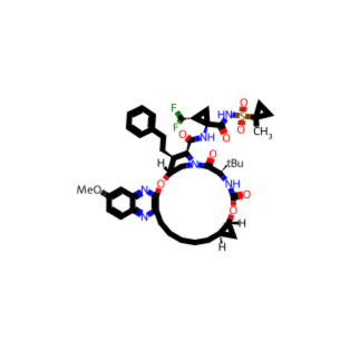 COc1ccc2nc3c(nc2c1)O[C@H]1CN(C(=O)[C@H](C(C)(C)C)NC(=O)O[C@@H]2C[C@H]2CCCCC3)[C@H](C(=O)N[C@]2(C(=O)NS(=O)(=O)C3(C)CC3)C[C@H]2C(F)F)[C@@H]1CCc1ccccc1